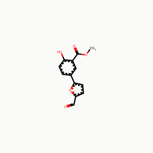 COC(=O)c1cc(-c2ccc(C=O)o2)ccc1O